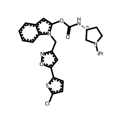 CC(C)N1CC[C@@H](NC(=O)Oc2cc3ccccc3n2Cc2cc(-c3ccc(Cl)s3)on2)C1